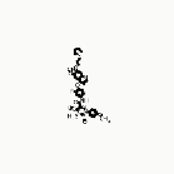 COc1ccc(N2N=C(C(=O)Nc3ccc(Oc4ccnc5cc(OCCCN6CCCC6)c(OC)cc45)c(F)c3)C(=C=O)N(C)C2=C=O)cc1